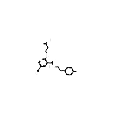 N#Cc1cnc(NCCC(=O)O)c(C(=O)NCCc2ccc(F)cc2)c1